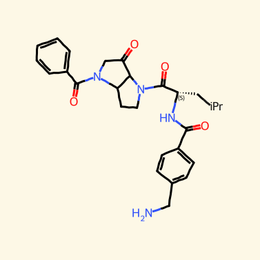 CC(C)C[C@H](NC(=O)c1ccc(CN)cc1)C(=O)N1CCC2C1C(=O)CN2C(=O)c1ccccc1